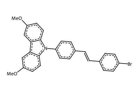 COc1ccc2c(c1)c1cc(OC)ccc1n2-c1ccc(C=Cc2ccc(Br)cc2)cc1